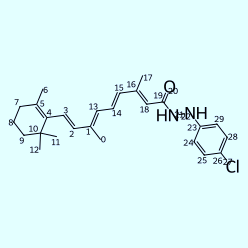 CC(C=CC1=C(C)CCCC1(C)C)=CC=CC(C)=CC(=O)NNc1ccc(Cl)cc1